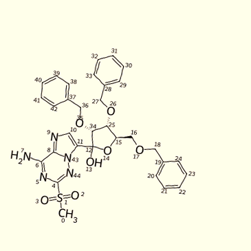 CS(=O)(=O)c1nc(N)c2ncc(C3(O)O[C@H](COCc4ccccc4)[C@@H](OCc4ccccc4)[C@H]3OCc3ccccc3)n2n1